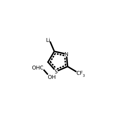 O=CO.[Li][c]1csc(C(F)(F)F)n1